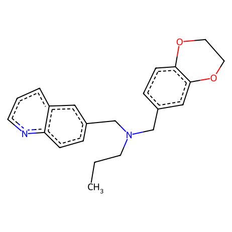 CCCN(Cc1ccc2c(c1)OCCO2)Cc1ccc2ncccc2c1